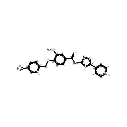 COc1cc(C(=O)Nc2nnc(-c3ccncc3)s2)ccc1OCc1ccc(C)cn1